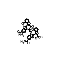 NC(=O)c1ccc2c(c1)nc(-c1c(C(=O)O)sc3cccc(Cl)c13)n2CCCn1c(-c2c(C(=O)O)sc3cccc(Cl)c23)nc2cc(C(N)=O)ccc21